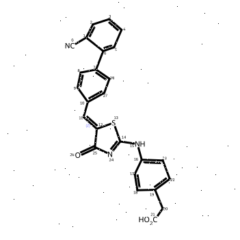 N#Cc1ccccc1-c1ccc(/C=C2\SC(Nc3ccc(CC(=O)O)cc3)=NC2=O)cc1